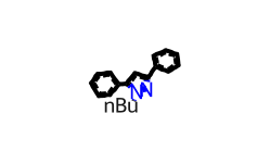 CCCCn1nc(-c2ccccc2)cc1-c1ccccc1